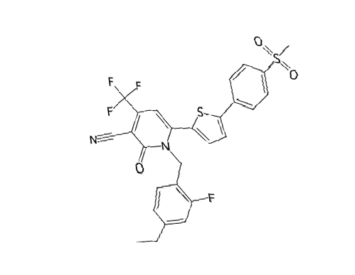 CCc1ccc(Cn2c(-c3ccc(-c4ccc(S(C)(=O)=O)cc4)s3)cc(C(F)(F)F)c(C#N)c2=O)c(F)c1